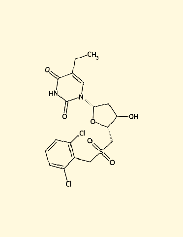 CCc1cn([C@@H]2CC(O)[C@H](CS(=O)(=O)Cc3c(Cl)cccc3Cl)O2)c(=O)[nH]c1=O